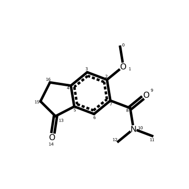 COc1cc2c(cc1C(=O)N(C)C)C(=O)CC2